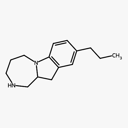 CCCc1ccc2c(c1)CC1CNCCCN21